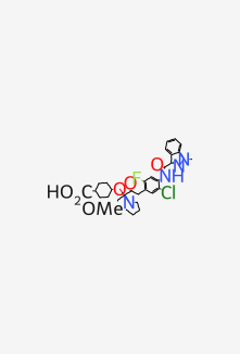 COCC(OC1CCC(C(=O)O)CC1)(C(=O)Cc1cc(Cl)c(NC(=O)c2nn(C)c3ccccc23)cc1F)N1CCCC1